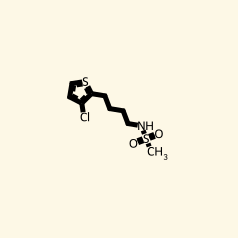 CS(=O)(=O)NCCCCc1sccc1Cl